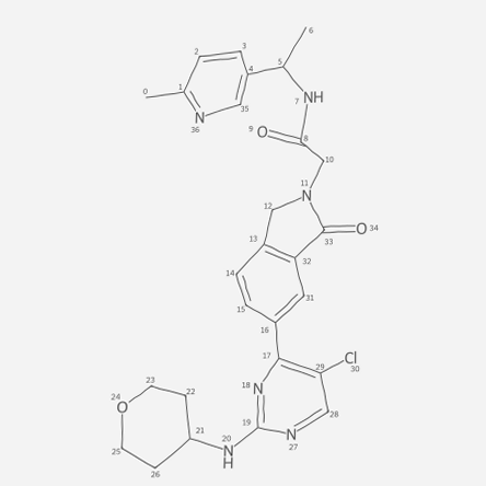 Cc1ccc(C(C)NC(=O)CN2Cc3ccc(-c4nc(NC5CCOCC5)ncc4Cl)cc3C2=O)cn1